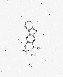 CC1(C)Oc2cc3c(cc2[C@H](O)[C@@H]1O)oc1ccccc13